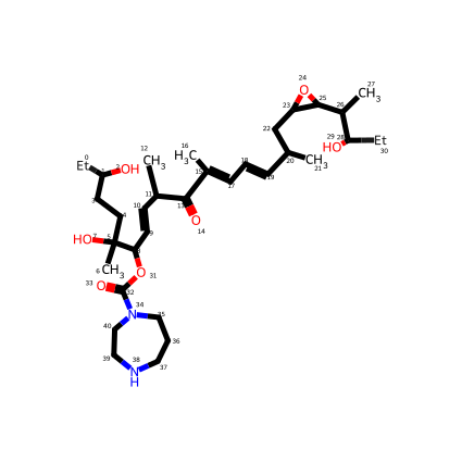 CCC(O)CCC(C)(O)C(/C=C/C(C)C(=O)/C(C)=C/C=C/C(C)CC1OC1C(C)C(O)CC)OC(=O)N1CCCNCC1